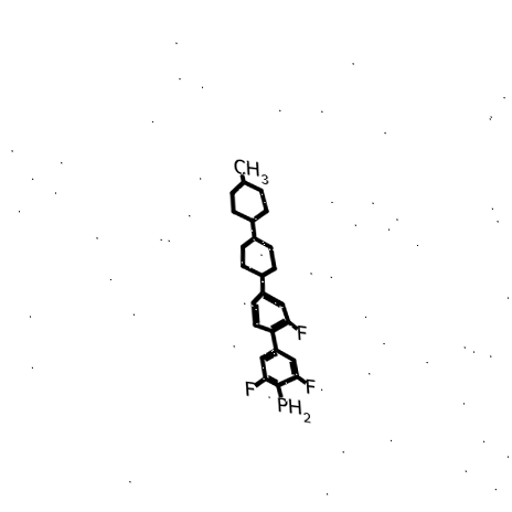 CC1CCC(C2CCC(c3ccc(-c4cc(F)c(P)c(F)c4)c(F)c3)CC2)CC1